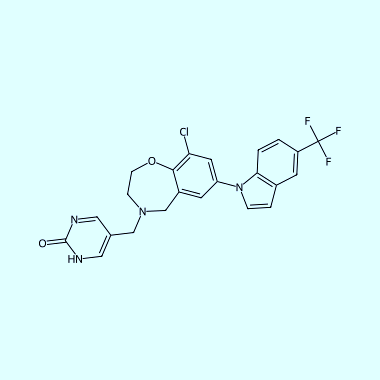 O=c1ncc(CN2CCOc3c(Cl)cc(-n4ccc5cc(C(F)(F)F)ccc54)cc3C2)c[nH]1